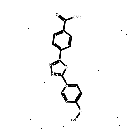 CCCCCCCOc1ccc(-c2nnc(-c3ccc(C(=O)OC)cc3)s2)cc1